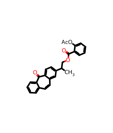 CC(=O)Oc1ccccc1C(=O)OCC(C)c1ccc2c(=O)c3ccccc3ccc2c1